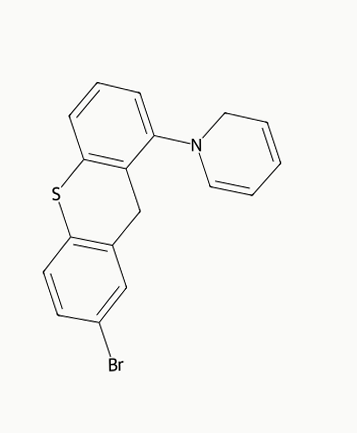 Brc1ccc2c(c1)Cc1c(cccc1N1C=CC=CC1)S2